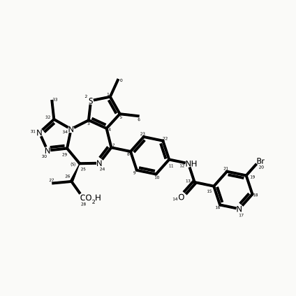 Cc1sc2c(c1C)C(c1ccc(NC(=O)c3cncc(Br)c3)cc1)=N[C@@H](C(C)C(=O)O)c1nnc(C)n1-2